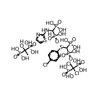 CC(O)(P(=O)(O)O)P(=O)(O)O.O=P(O)(O)C(Cl)(Cl)P(=O)(O)O.O=P(O)(O)C(Nc1nccs1)P(=O)(O)O.O=P(O)(O)C(Sc1ccc(Cl)cc1)P(=O)(O)O